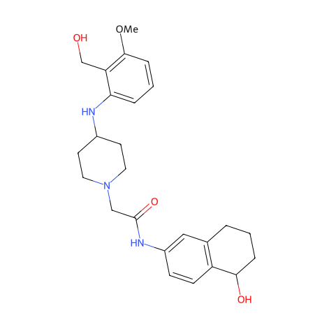 COc1cccc(NC2CCN(CC(=O)Nc3ccc4c(c3)CCCC4O)CC2)c1CO